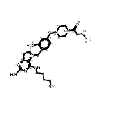 CCCCCNc1nc(N)nc2ccn(Cc3ccc(CN4CCN(C(=O)CON)CC4)cc3C)c12